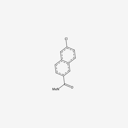 CNC(=O)c1ccc2cc(Cl)ccc2c1